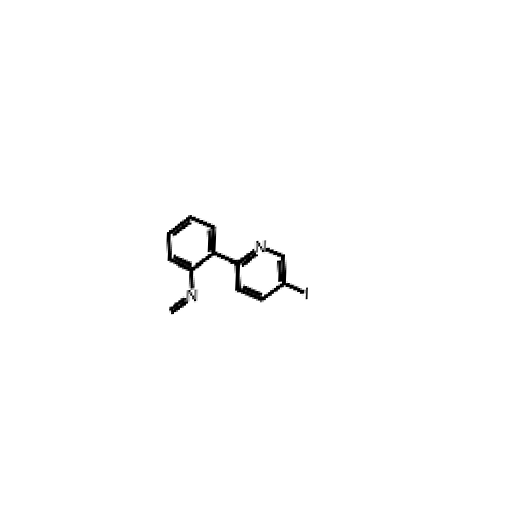 C=Nc1ccccc1-c1ccc(I)cn1